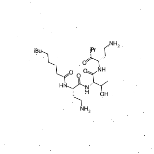 CCC(C)CCCCC(=O)N[C@@H](CCN)C(=O)N[C@H](C(=O)N[C@@H](CCN)C(=O)C(C)C)C(C)O